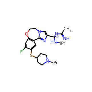 CC(=N)/N=C(\NC(C)C)c1cn2c(n1)-c1cc(SC3CCN(C(C)C)CC3)c(F)cc1OCC2